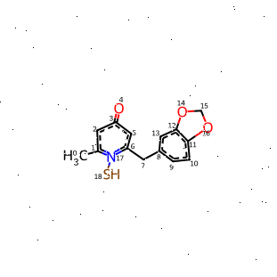 Cc1cc(=O)cc(Cc2ccc3c(c2)OCO3)n1S